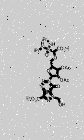 CCOC(=O)c1nn(CO)c2c(=O)n(C3OC(COC(C(=O)O)P(=O)(NC(C)C)NC(C)C)C(OC(C)=O)C3OC(C)=O)nnc12